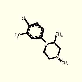 CC1CN(C)CCN1c1ccc(Cl)c(C(F)(F)F)c1